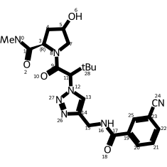 CNC(=O)[C@H]1CC(O)CN1C(=O)C(n1cc(CNC(=O)c2cccc(C#N)c2)nn1)C(C)(C)C